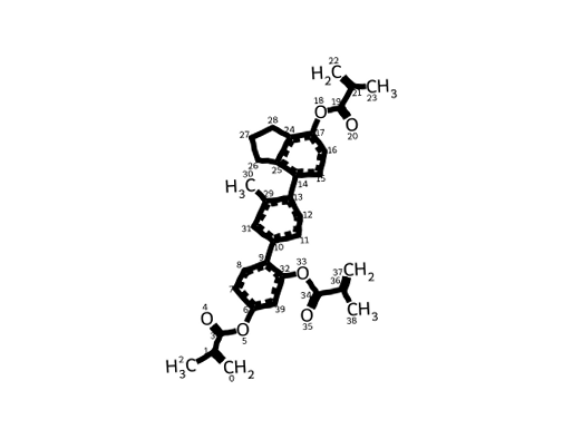 C=C(C)C(=O)Oc1ccc(-c2ccc(-c3ccc(OC(=O)C(=C)C)c4c3CCC4)c(C)c2)c(OC(=O)C(=C)C)c1